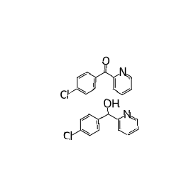 O=C(c1ccc(Cl)cc1)c1ccccn1.OC(c1ccc(Cl)cc1)c1ccccn1